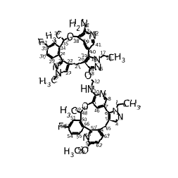 CCn1ncc2c1-c1cnc(NCOc3nn(CC)c4c3Cc3cn(C)nc3-c3ccc(F)cc3C(C)Oc3cc-4cnc3N)c(c1)OC(C)c1cc(F)ccc1-c1nc(OC)ccc1C2